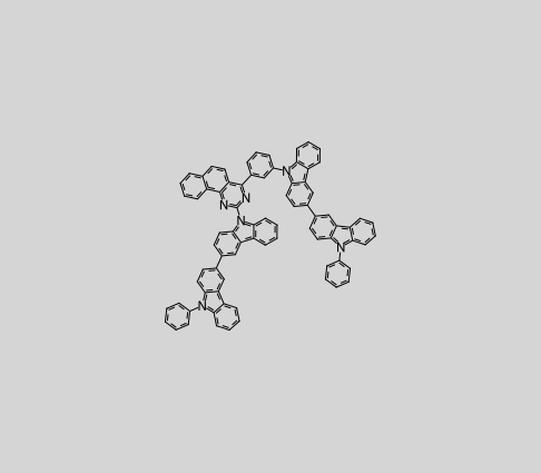 c1ccc(-n2c3ccccc3c3cc(-c4ccc5c(c4)c4ccccc4n5-c4cccc(-c5nc(-n6c7ccccc7c7cc(-c8ccc9c(c8)c8ccccc8n9-c8ccccc8)ccc76)nc6c5ccc5ccccc56)c4)ccc32)cc1